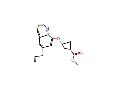 C=CCc1cc(O[C@H]2C[C@H](C(=O)OC)C2)c2ncccc2c1